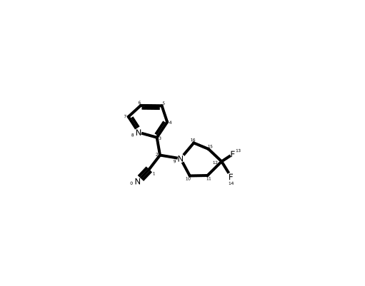 N#CC(c1ccccn1)N1CCC(F)(F)CC1